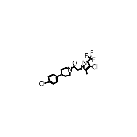 Cc1c(Cl)c(C(F)(F)F)nn1CC(=O)N1CCC(c2ccc(Cl)cc2)CC1